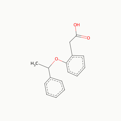 CC(Oc1ccccc1CC(=O)O)c1ccccc1